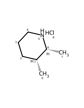 C[C@@H]1CCCN[C@@H]1C.Cl